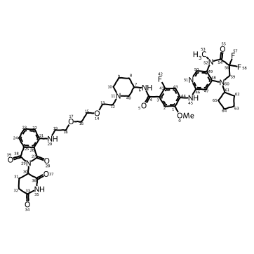 COc1cc(C(=O)NC2CCCN(CCOCCOCCNc3cccc4c3C(=O)N(C3CCC(=O)NC3=O)C4=O)C2)c(F)cc1Nc1cc2c(cn1)N(C)C(=O)C(F)(F)CN2C1CCCC1